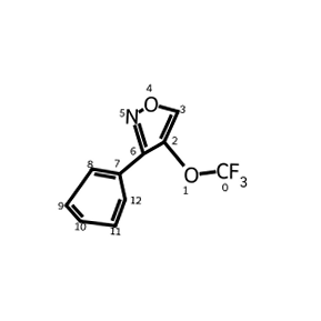 FC(F)(F)Oc1conc1-c1ccccc1